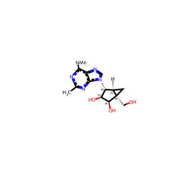 CNc1nc(C)nc2c1ncn2[C@H]1[C@H](O)[C@H](O)[C@]2(CO)C[C@H]12